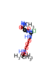 Cn1cnnc1CC1(c2ccc3c(c2)C(=O)N(c2cc(CNCCOCCOCCOCCNC(=O)OC(C)(C)C)cc(Cl)n2)C3)COC1